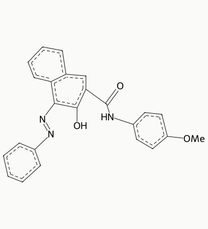 COc1ccc(NC(=O)c2cc3ccccc3c(/N=N/c3ccccc3)c2O)cc1